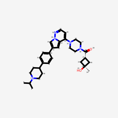 CC(C)N1CCC(c2ccc(-c3cc4c(N5CCN(C(=O)[C@H]6C[C@](C)(O)C6)CC5)ccnn4c3)cc2)CC1